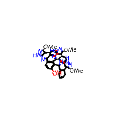 COc1n[nH]c2nc(-c3ccc(O)c(-c4nc5[nH]nc(OC)c5c5ccccc45)c3-c3nc4[nH]nc(OC)c4c4ccccc34)c3ccccc3c12